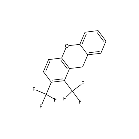 FC(F)(F)c1ccc2c(c1C(F)(F)F)Cc1ccccc1O2